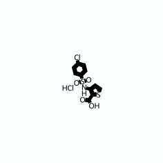 Cl.O=C(O)c1sccc1NS(=O)(=O)c1ccc(Cl)cc1